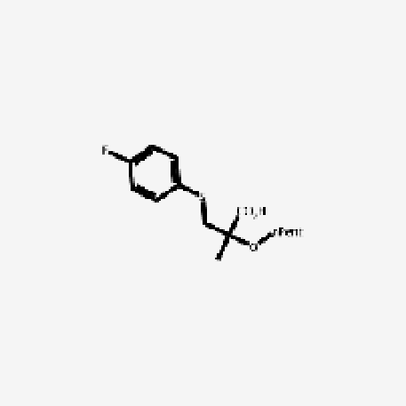 CCCCCOC(C)(CSc1ccc(F)cc1)C(=O)O